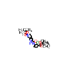 CC(C)(C)OC(=O)N1CCc2cc(C(=O)Nc3cccc(B4OC(C)(C)C(C)(C)O4)c3Cl)ncc2C1